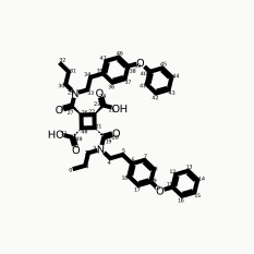 CCCN(CCc1ccc(Oc2ccccc2)cc1)C(=O)[C@H]1[C@H](C(=O)O)[C@H](C(=O)N(CCC)CCc2ccc(Oc3ccccc3)cc2)[C@H]1C(=O)O